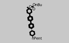 CCCCC[C@H]1CC[C@H](c2ccc(-c3ccc(C4CCC(C)(OC(=O)OCCCC)CC4)cc3)cc2)CC1